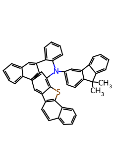 CC1(C)c2ccccc2-c2cc(N(c3ccccc3-c3ccc4ccccc4c3)c3cccc4c3sc3c5ccccc5ccc43)ccc21